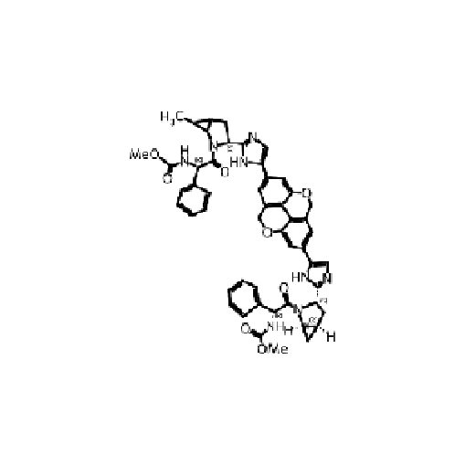 COC(=O)N[C@@H](C(=O)N1C2C(C)C2C[C@H]1c1ncc(-c2cc3c4c(c2)OCc2cc(-c5cnc([C@@H]6C[C@H]7C[C@H]7N6C(=O)[C@H](NC(=O)OC)c6ccccc6)[nH]5)cc(c2-4)OC3)[nH]1)c1ccccc1